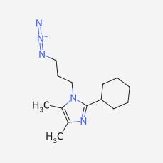 Cc1nc(C2CCCCC2)n(CCCN=[N+]=[N-])c1C